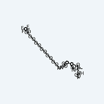 CCCN(CCCNC(=O)OC(C)(C)C)C(=O)C1=Cc2ccc(-c3cccc(S(=O)(=O)C4CN(CN(C)CCOCCOCCOCCOCCOCCOCCOCCOCCOCCOCCC(=O)Oc5c(F)c(F)cc(F)c5F)C4)c3)cc2N=C(N)C1